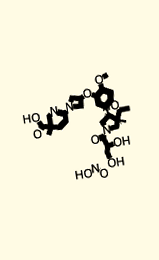 COc1ccc([C@@H]2CN(C(=O)C(O)CO)C[C@@]2(C)C(C)O)cc1OC1CN(C2=NCC(C)(C(=O)O)C=C2)C1.O=NO